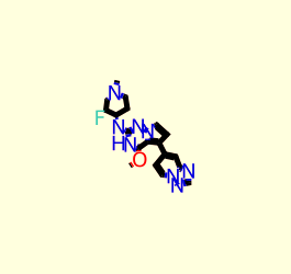 COc1nc(N[C@@H]2CCN(C)C[C@H]2F)nn2ccc(-c3ccn4ncnc4c3)c12